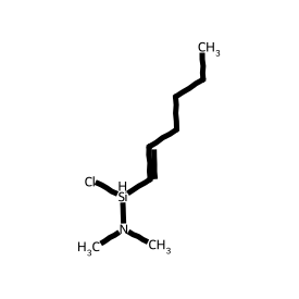 CCCCC=C[SiH](Cl)N(C)C